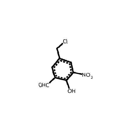 O=Cc1cc(CCl)cc([N+](=O)[O-])c1O